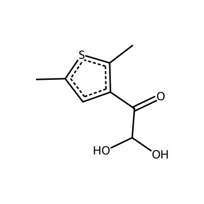 Cc1cc(C(=O)C(O)O)c(C)s1